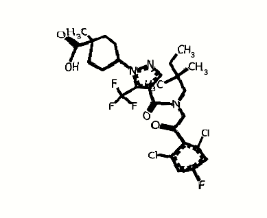 CCC(C)(C)CN(CC(=O)c1c(Cl)cc(F)cc1Cl)C(=O)c1cnn(C2CCC(C)(C(=O)O)CC2)c1C(F)(F)F